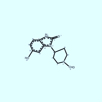 O=CN1CCC(n2c(=O)[nH]c3ccc(O)cc32)CC1